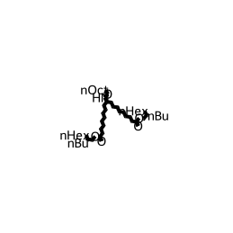 CCCCCCCCONC(CCCCCCCCC(=O)OCC(CCCC)CCCCCC)CCCCCCCCC(=O)OCC(CCCC)CCCCCC